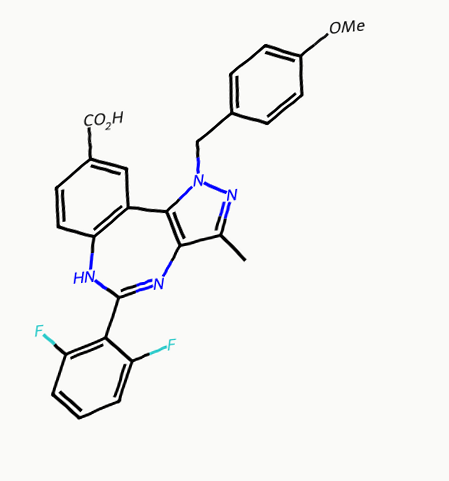 COc1ccc(Cn2nc(C)c3c2-c2cc(C(=O)O)ccc2NC(c2c(F)cccc2F)=N3)cc1